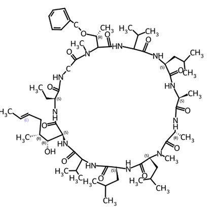 C/C=C/C[C@@H](C)[C@@H](O)[C@@H]1NC(=O)C(C(C)C)NC(=O)[C@H](CC(C)C)NC(=O)[C@H](CC(C)C)N(C)C(=O)[C@@H](C)NC(=O)[C@H](C)NC(=O)[C@H](CC(C)C)NC(=O)C(C(C)C)NC(=O)C([C@@H](C)OCc2ccccc2)N(C)C(=O)CNC(=O)[C@H](CC)NC1=O